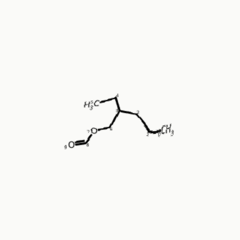 CCCC(CC)COC=O